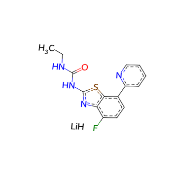 CCNC(=O)Nc1nc2c(F)ccc(-c3ccccn3)c2s1.[LiH]